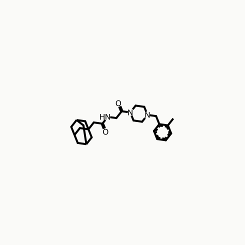 Cc1ccccc1CN1CCN(C(=O)CNC(=O)CC23CC4CC(CC(C4)C2)C3)CC1